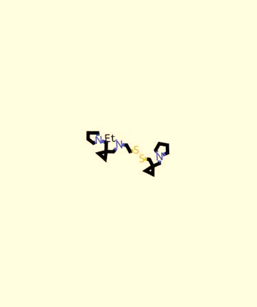 CCN(CCSSCC1(CN2CCCC2)CC1)CC1(CN2CCCC2)CC1